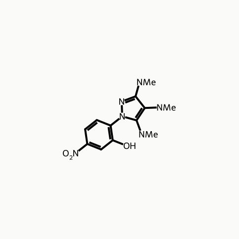 CNc1nn(-c2ccc([N+](=O)[O-])cc2O)c(NC)c1NC